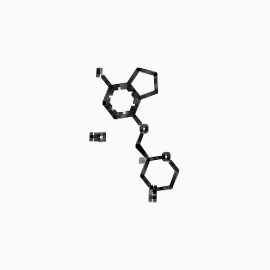 Cl.Fc1ccc(OC[C@@H]2CNCCO2)c2c1CCC2